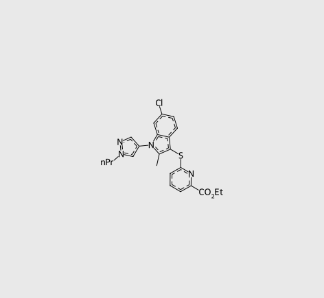 CCCn1cc(-n2c(C)c(Sc3cccc(C(=O)OCC)n3)c3ccc(Cl)cc32)cn1